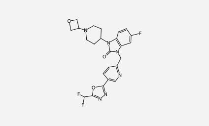 O=c1n(Cc2ccc(-c3nnc(C(F)F)o3)cn2)c2cc(F)ccc2n1C1CCN(C2COC2)CC1